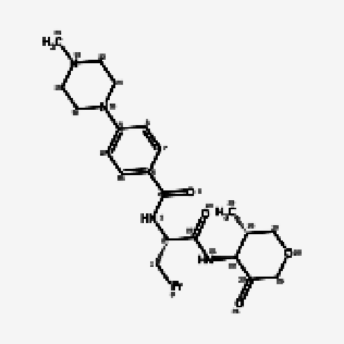 CC(C)C[C@H](NC(=O)c1ccc(N2CCN(C)CC2)cc1)C(=O)N[C@@H]1C(=O)COC[C@H]1C